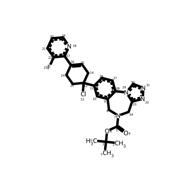 CC(C)(C)OC(=O)N1Cc2cc(C3(Cl)CC=C(c4ncccc4F)CC3)ccc2-n2cnnc2C1